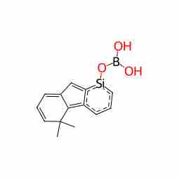 CC1(C)C=CC=C2C=c3c(ccc[si]3OB(O)O)=C21